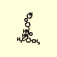 Cc1ccc(C)c(NC(=O)NCc2ccc(Oc3ccncc3)cc2)c1